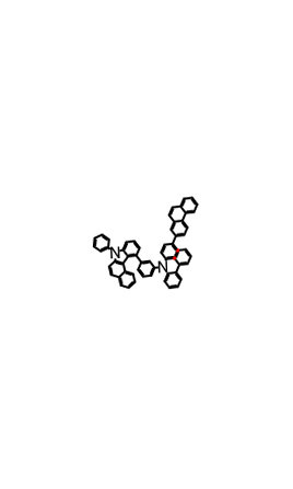 c1ccc(-c2ccccc2N(c2ccc(-c3ccc4c(ccc5ccccc54)c3)cc2)c2cccc(-c3cccc4c3c3c5ccccc5ccc3n4-c3ccccc3)c2)cc1